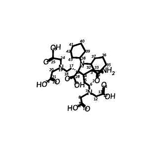 NC(=O)CC(CCN(CC(=O)O)CC(=O)O)[C@@](CCN(CC(=O)O)CC(=O)O)(C(=O)O)N(C1CCCCC1)C1CCCCC1